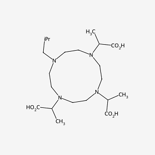 CC(C)CN1CCN(C(C)C(=O)O)CCN(C(C)C(=O)O)CCN(C(C)C(=O)O)CC1